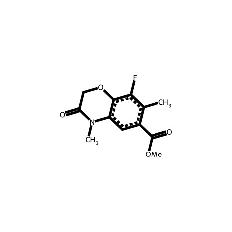 COC(=O)c1cc2c(c(F)c1C)OCC(=O)N2C